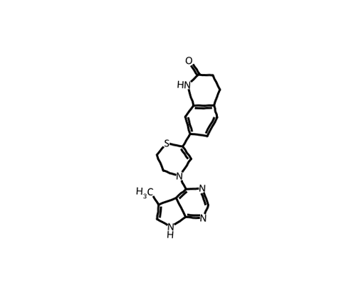 Cc1c[nH]c2ncnc(N3C=C(c4ccc5c(c4)NC(=O)CC5)SCC3)c12